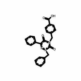 O=C(O)c1ccc(Cn2c(=O)c(-c3ccccc3)nn(Cc3ccccc3)c2=O)cc1